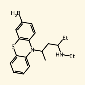 Bc1ccc2c(c1)Sc1ccccc1N2C(C)CC(CC)NCC